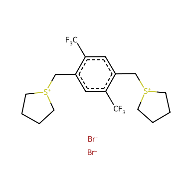 FC(F)(F)c1cc(C[S+]2CCCC2)c(C(F)(F)F)cc1C[S+]1CCCC1.[Br-].[Br-]